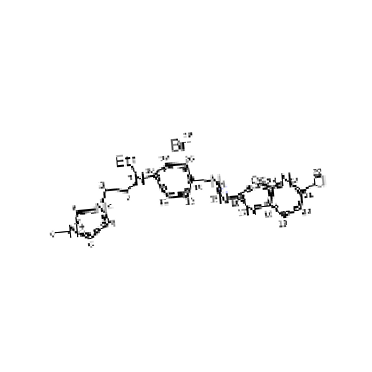 CCN(CCn1cc[n+](C)c1)c1ccc(/N=N/c2nc3ccc(Cl)nc3s2)cc1.[Br-]